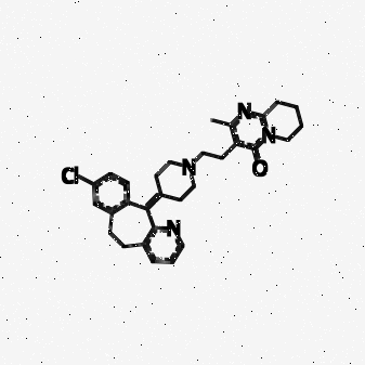 Cc1nc2n(c(=O)c1CCN1CCC(=C3c4ccc(Cl)cc4CCc4cccnc43)CC1)CCCC2